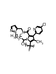 Cc1c(-c2ccc(Cl)cn2)c(C(=O)N(C)Cc2ccnn2C)n(C(C)C)c1C(F)(F)F